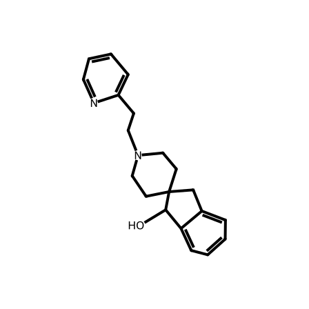 OC1c2ccccc2CC12CCN(CCc1ccccn1)CC2